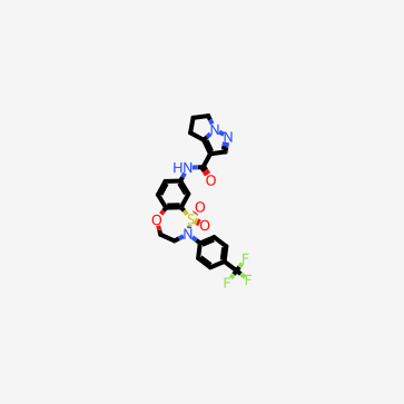 O=C(Nc1ccc2c(c1)S(=O)(=O)N(c1ccc(C(F)(F)F)cc1)CCO2)c1cnn2c1CCC2